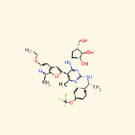 CCOc1cc2cc(-c3c(C)nc(N[C@H](C)c4ccc(OC(F)(F)F)cc4)nc3N[C@@H]3C[C@H](CO)[C@@H](O)[C@H]3O)oc2c(C)n1